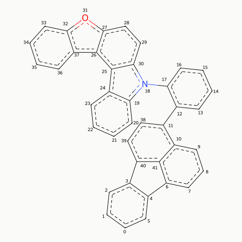 c1ccc2c(c1)-c1cccc3c(-c4ccccc4-n4c5ccccc5c5c6c(ccc54)oc4ccccc46)ccc-2c13